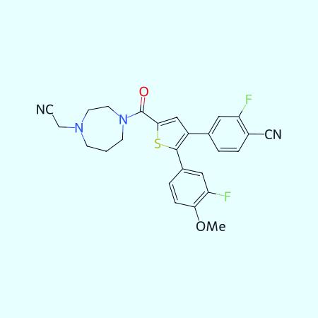 COc1ccc(-c2sc(C(=O)N3CCCN(CC#N)CC3)cc2-c2ccc(C#N)c(F)c2)cc1F